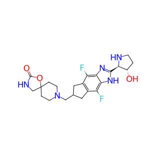 O=C1NCC2(CCN(CC3Cc4c(c(F)c5[nH]c([C@H]6NCC[C@@H]6O)nc5c4F)C3)CC2)O1